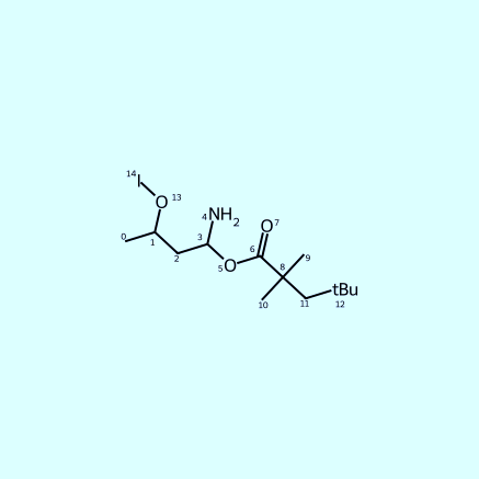 CC(CC(N)OC(=O)C(C)(C)CC(C)(C)C)OI